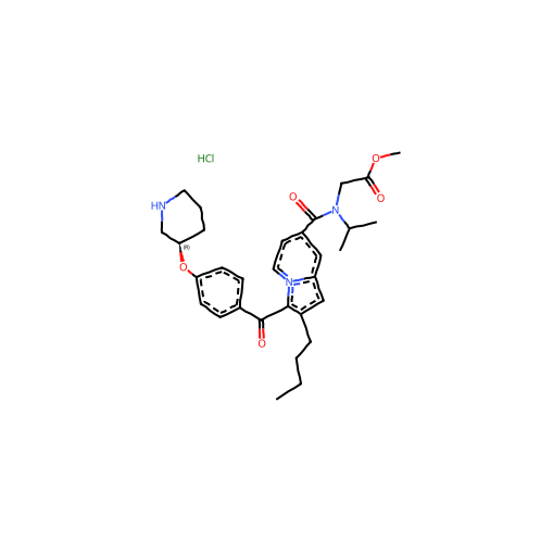 CCCCc1cc2cc(C(=O)N(CC(=O)OC)C(C)C)ccn2c1C(=O)c1ccc(O[C@@H]2CCCNC2)cc1.Cl